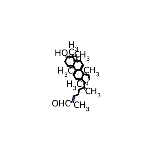 C/C(C=O)=C\CC[C@@H](C)[C@H]1CC[C@@]2(C)C3=CC[C@H]4C(C)(C)[C@@H](O)CC[C@]4(C)C3=CC[C@]12C